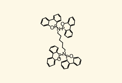 c1ccc2c(c1)OP(N(CCCCCCN(P1Oc3ccccc3-c3ccccc31)P1Oc3ccccc3-c3ccccc31)P1Oc3ccccc3-c3ccccc31)c1ccccc1-2